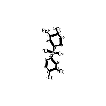 CCc1ccc(S(=O)(=O)c2ccc(CC)c(CC)c2)cc1CC